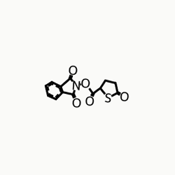 O=C1CCC(C(=O)ON2C(=O)c3ccccc3C2=O)S1